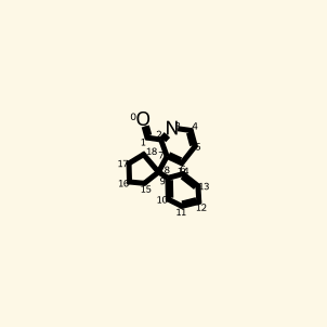 O=Cc1ncccc1C1(c2ccccc2)CCCC1